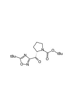 CC(C)(C)OC(=O)N1CCC[C@H]1C(=O)c1noc(C(C)(C)C)n1